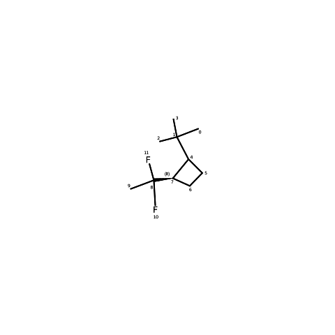 CC(C)(C)C1CC[C@H]1C(C)(F)F